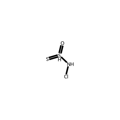 O=[SH](=S)NCl